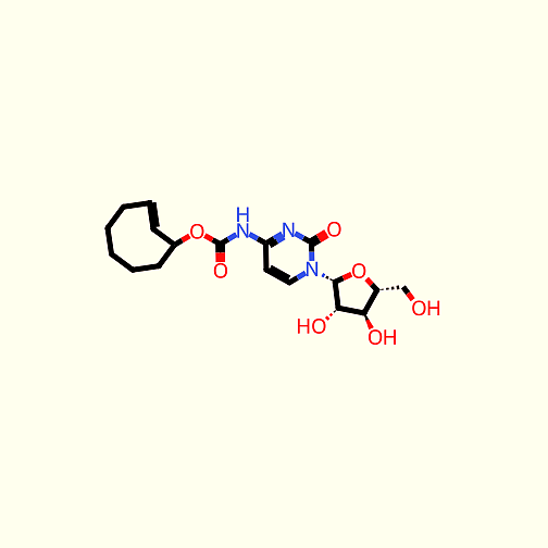 O=C(Nc1ccn([C@@H]2O[C@H](CO)[C@@H](O)[C@@H]2O)c(=O)n1)OC1/C=C/CCCCC1